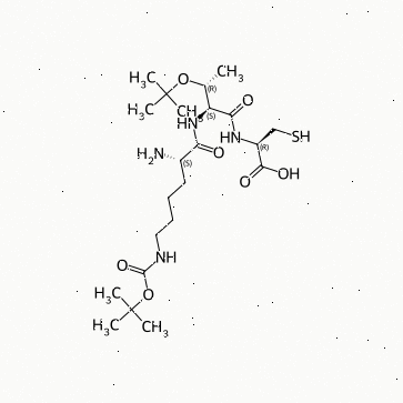 C[C@@H](OC(C)(C)C)[C@H](NC(=O)[C@@H](N)CCCCNC(=O)OC(C)(C)C)C(=O)N[C@@H](CS)C(=O)O